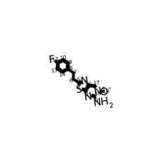 Nc1nc2sc(CCc3ccc(F)cc3)nc2c[n+]1[O-]